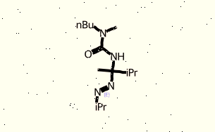 CCCCN(C)C(=O)NC(C)(/N=N/C(C)C)C(C)C